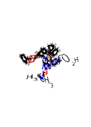 CN(C)CCOc1nc2c(c(N3CCN(C(=O)O)CC3CCO[Si](c3ccccc3)(c3ccccc3)C(C)(C)C)n1)CCN(c1cc(OCc3ccccc3)cc3ccccc13)C2